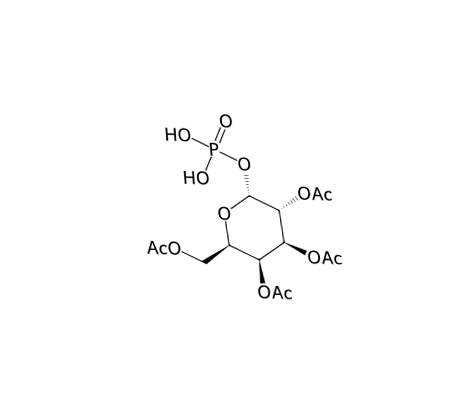 CC(=O)OC[C@H]1O[C@H](OP(=O)(O)O)[C@H](OC(C)=O)[C@@H](OC(C)=O)[C@H]1OC(C)=O